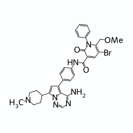 COCc1c(Br)cc(C(=O)Nc2ccc(-c3cc(C4CCN(C)CC4)n4ncnc(N)c34)cc2)c(=O)n1-c1ccccc1